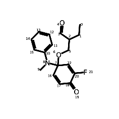 CCC(C=O)COC1(N(C)c2ccccc2)C=CC(=O)C(F)=C1